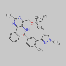 Cc1nc(CO[Si](C)(C)CC(C)C)c(NC(=O)c2ccc(C(F)(F)F)c(-c3ccn(C)n3)c2)c(-c2ccccc2)n1